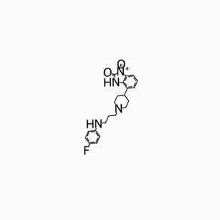 O=C1Nc2c(C3CCN(CCCNc4ccc(F)cc4)CC3)cccc2[N+]1=O